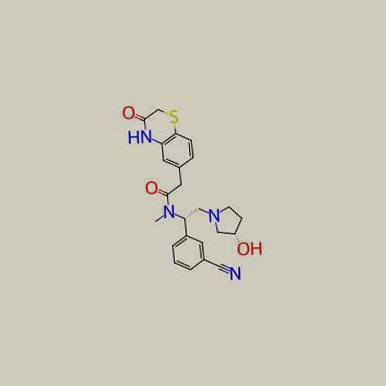 CN(C(=O)Cc1ccc2c(c1)NC(=O)CS2)[C@H](CN1CC[C@H](O)C1)c1cccc(C#N)c1